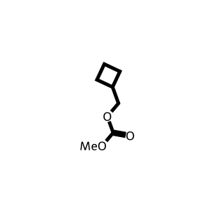 [CH2]OC(=O)OCC1CCC1